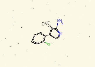 Nc1nccc(-c2ccccc2Cl)c1C=O